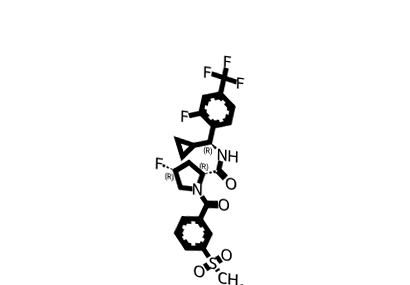 CS(=O)(=O)c1cccc(C(=O)N2C[C@H](F)C[C@@H]2C(=O)N[C@@H](c2ccc(C(F)(F)F)cc2F)C2CC2)c1